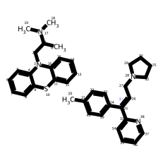 CC(CN1c2ccccc2Sc2ccccc21)N(C)C.Cc1ccc(/C(=C\CN2CCCC2)c2ccccn2)cc1